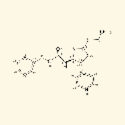 COCCN1C[C@H](NC(=O)OCc2ccccc2)[C@@H](c2ccncc2)C1